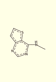 CNc1ncnc2ccsc12